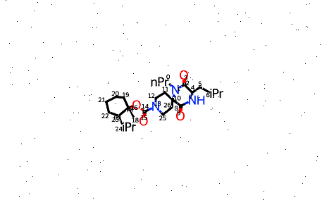 CCCN1C(=O)C(CC(C)C)NC(=O)C12CCN(C(=O)O[C@@]1(C)CCCC[C@@H]1C(C)C)CC2